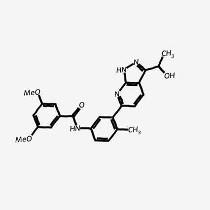 COc1cc(OC)cc(C(=O)Nc2ccc(C)c(-c3ccc4c(C(C)O)n[nH]c4n3)c2)c1